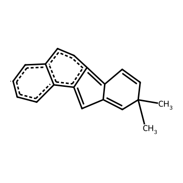 CC1(C)C=CC2=c3ccc4c[c]ccc4c3=CC2=C1